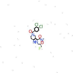 CN1O[C@@H](CF)Cn2nc3c(c2C1=O)CN(C(=O)c1ccc(Cl)c(Cl)c1)CC3